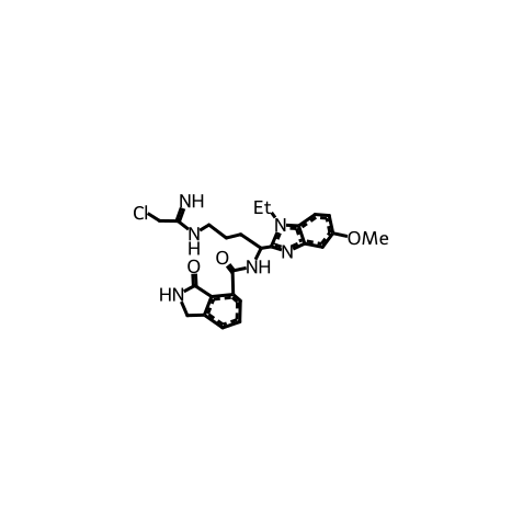 CCn1c(C(CCCNC(=N)CCl)NC(=O)c2cccc3c2C(=O)NC3)nc2cc(OC)ccc21